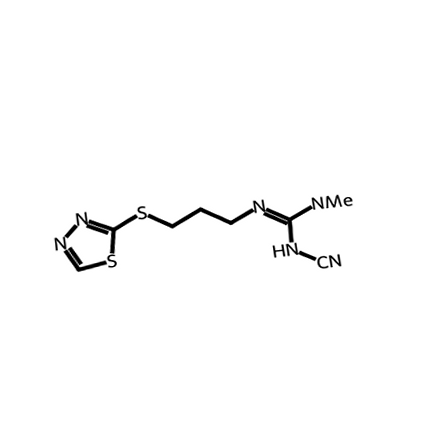 CNC(=NCCCSc1nncs1)NC#N